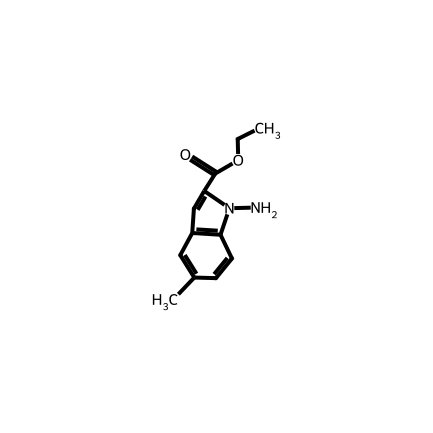 CCOC(=O)c1cc2cc(C)ccc2n1N